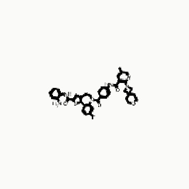 Cc1cnc(N2CC3(CCOCC3)C2)c(C(=O)Nc2ccc(C(=O)N3CCc4cc(C(=O)Nc5ccccc5N)sc4-c4ccc(F)cc43)cc2)c1